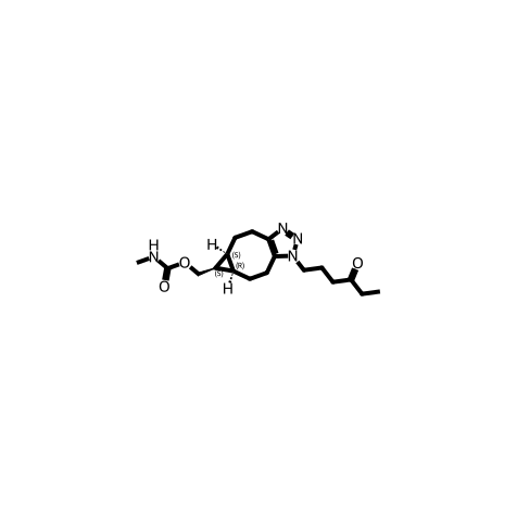 CCC(=O)CCCn1nnc2c1CC[C@@H]1[C@H](CC2)[C@@H]1COC(=O)NC